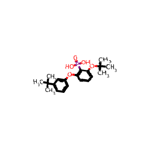 CC(C)(C)Oc1cccc(Oc2cccc(C(C)(C)C)c2)c1P(=O)(O)O